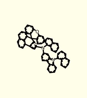 c1ccc2c(c1)Oc1ccccc1C21c2cc(N(c3ccc4c5ccccc5n(-c5cccc6ccccc56)c4c3)c3cccc4ccccc34)ccc2-c2cccc3cccc1c23